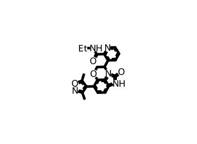 CCNC(=O)c1ncccc1C1COc2c(-c3c(C)noc3C)ccc3[nH]c(=O)n1c23